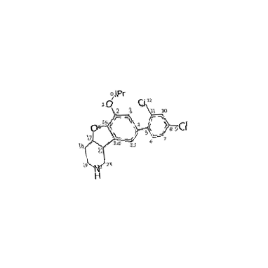 CC(C)Oc1cc(-c2ccc(Cl)cc2Cl)cc2c1OC1CCNCC21